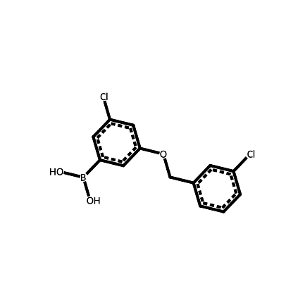 OB(O)c1cc(Cl)cc(OCc2cccc(Cl)c2)c1